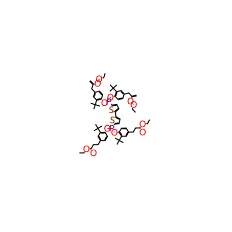 C=C(Cc1ccc(OP(Oc2ccc(CC(=C)OOCC)cc2C(C)(C)C)c2ccc(-c3ccc(P(Oc4ccc(CCC(=O)OCC)cc4C(C)(C)C)Oc4ccc(CCC(=O)OCC)cc4C(C)(C)C)s3)s2)c(C(C)(C)C)c1)OOCC